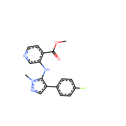 COC(=O)c1ccncc1Nc1c(-c2ccc(F)cc2)cnn1C